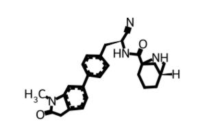 CN1C(=O)Cc2ccc(-c3ccc(C[C@@H](C#N)NC(=O)C45CCC[C@@H](CN4)C5)cc3)cc21